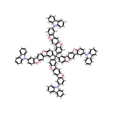 c1ccc2c(c1)c1ccccc1n2-c1ccc2oc3cc4c(cc3c2c1)oc1ccc(C(c2ccc3oc5cc6c(cc5c3c2)oc2ccc(-n3c5ccccc5c5ccccc53)cc26)(c2ccc3oc5cc6c(cc5c3c2)oc2ccc(-n3c5ccccc5c5ccccc53)cc26)c2ccc3oc5cc6c(cc5c3c2)oc2ccc(-n3c5ccccc5c5ccccc53)cc26)cc14